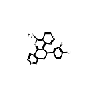 Nc1nc2c(c3cnccc13)C(c1ccc(Cl)c(Cl)c1)Cc1cnccc1-2